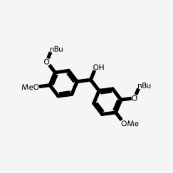 CCCCOc1cc(C(O)c2ccc(OC)c(OCCCC)c2)ccc1OC